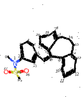 CN(c1cccc(C=C2c3ccccc3CCc3ccccc32)c1)S(C)(=O)=O